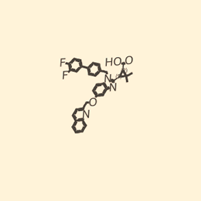 CC1(C)[C@H](C(=O)O)[C@@H]1c1nc2cc(OCc3ccc4ccccc4n3)ccc2n1Cc1ccc(-c2ccc(F)c(F)c2)cc1